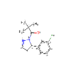 CC(C)(C)C(=O)N1N=CCC1c1cccc(F)c1